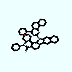 O=c1c2ccc3c4cc5ccccc5cc4n(-c4nc(-c5ccccc5)c5ccc6ccccc6c5n4)c3c2c2ccccc2n1-c1ccccc1